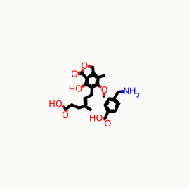 COc1c(C)c2c(c(O)c1C/C=C(\C)CCC(=O)O)C(=O)OC2.NCc1ccc(C(=O)O)cc1